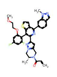 C=CC(=O)N1Cc2cc(-c3nc(-c4ccc5cnn(C)c5c4)c4ccsc4c3-c3c(F)cc(F)cc3OCCOC)nn2C[C@H]1C